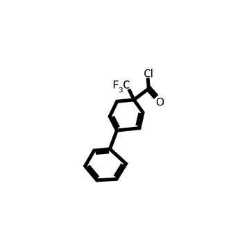 O=C(Cl)C1(C(F)(F)F)C=CC(c2ccccc2)=CC1